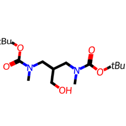 CN(CC(CO)CN(C)C(=O)OC(C)(C)C)C(=O)OC(C)(C)C